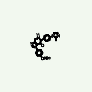 COc1ccc(-n2cnc3c2C(=O)C(c2ccc(-n4ccnc4C)cc2)NC3)cc1